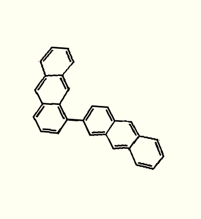 [c]1cccc2cc3cc(-c4cccc5cc6[c]cccc6cc45)ccc3cc12